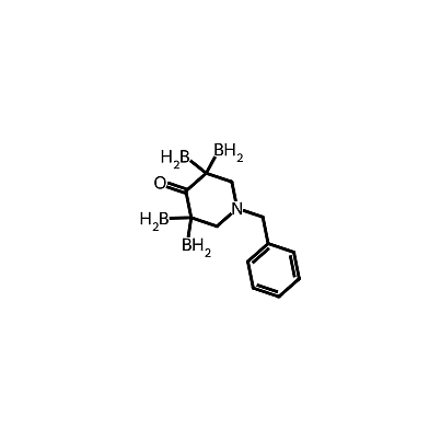 BC1(B)CN(Cc2ccccc2)CC(B)(B)C1=O